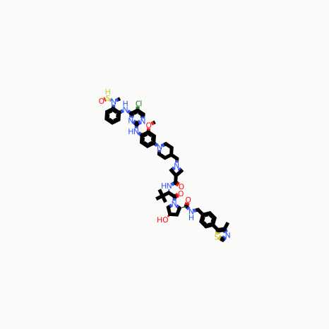 COc1cc(N2CCC(CN3CC(C(=O)N[C@H](C(=O)N4C[C@H](O)C[C@H]4C(=O)NCc4ccc(-c5scnc5C)cc4)C(C)(C)C)C3)CC2)ccc1Nc1ncc(Cl)c(Nc2ccccc2N(C)[SH]=O)n1